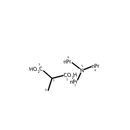 CC(C(=O)O)C(=O)O.CCCN(CCC)CCC